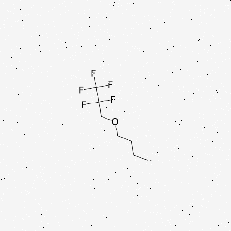 [CH2]CCCOCC(F)(F)C(F)(F)F